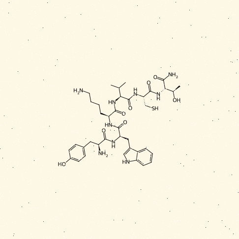 CC(C)[C@H](NC(=O)[C@H](CCCCN)NC(=O)[C@@H](Cc1c[nH]c2ccccc12)NC(=O)[C@@H](N)Cc1ccc(O)cc1)C(=O)N[C@@H](CS)C(=O)N[C@H](C(N)=O)[C@@H](C)O